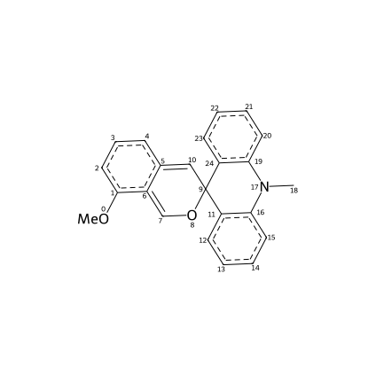 COc1cccc2c1=COC1(C=2)c2ccccc2N(C)c2ccccc21